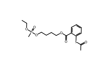 CCOP(C)(=O)OCCCCOC(=O)c1ccccc1SC(C)=O